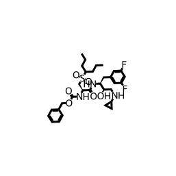 CCCC(CCC)S(=O)(=O)C[C@H](NC(=O)OCc1ccccc1)C(=O)N[C@@H](Cc1cc(F)cc(F)c1)[C@H](O)CNC1CC1